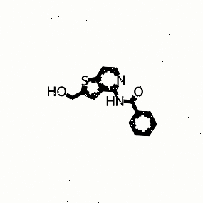 O=C(Nc1nccc2sc(CO)cc12)c1ccccc1